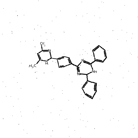 CC1=CC(C)=NC(c2ccc(C3=NC(c4ccccc4)NC(c4ccccc4)=N3)cc2)N1